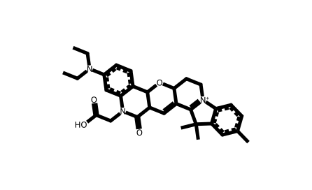 CCN(CC)c1ccc2c(c1)N(CC(=O)O)C(=O)C1C=C3C4=[N+](CCC3OC21)c1ccc(C)cc1C4(C)C